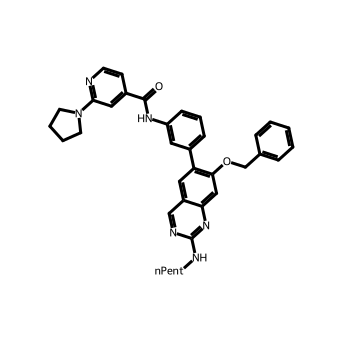 CCCCCNc1ncc2cc(-c3cccc(NC(=O)c4ccnc(N5CCCC5)c4)c3)c(OCc3ccccc3)cc2n1